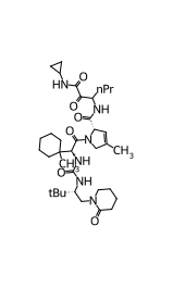 CCCC(NC(=O)[C@@H]1C=C(C)CN1C(=O)[C@@H](NC(=O)N[C@H](CN1CCCCC1=O)C(C)(C)C)C1(C)CCCCC1)C(=O)C(=O)NC1CC1